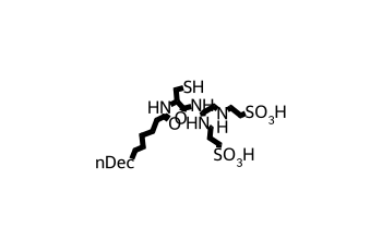 CCCCCCCCCCCCCCCC(=O)NC(CS)C(=O)NC(CNCCS(=O)(=O)O)NCCCS(=O)(=O)O